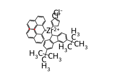 CC(C)(C)c1ccc2c(c1)-c1cc(C(C)(C)C)ccc1[CH]2[Zr+2]([C]1=CC=CC1)=[C](c1cccc2ccccc12)c1cccc2ccccc12.[Cl-].[Cl-]